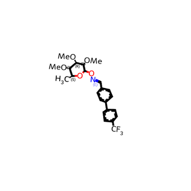 CO[C@@H]1[C@@H](OC)[C@@H](OC)C(O/N=C/c2ccc(-c3ccc(C(F)(F)F)cc3)cc2)O[C@H]1C